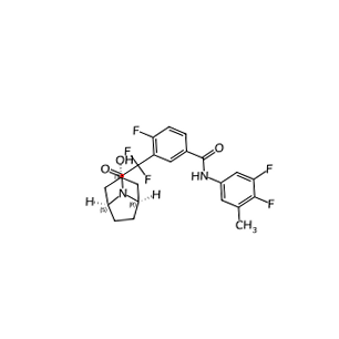 Cc1cc(NC(=O)c2ccc(F)c(C(F)(F)C(=O)N3[C@@H]4CC[C@H]3C[C@H](O)C4)c2)cc(F)c1F